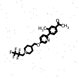 CC(=O)c1ccc(-c2ccc(OCC3CCN(CC(F)(F)C(F)(F)F)CC3)cn2)c(C)c1